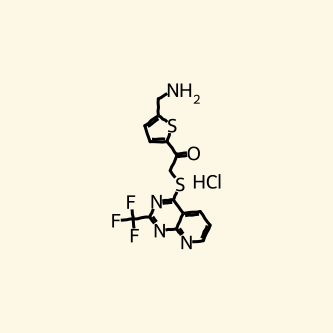 Cl.NCc1ccc(C(=O)CSc2nc(C(F)(F)F)nc3ncccc23)s1